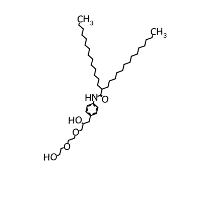 CCCCCCCCCCCCCCC(CCCCCCCCCCCCCC)C(=O)Nc1ccc(CC(O)COCCOCCO)cc1